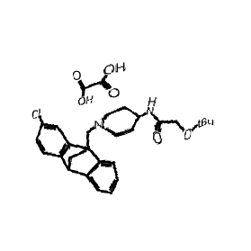 CC(C)(C)OCC(=O)NC1CCN(CC23CC(c4ccccc42)c2ccc(Cl)cc23)CC1.O=C(O)C(=O)O